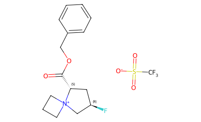 O=C(OCc1ccccc1)[C@@H]1C[C@@H](F)C[N+]12CCC2.O=S(=O)([O-])C(F)(F)F